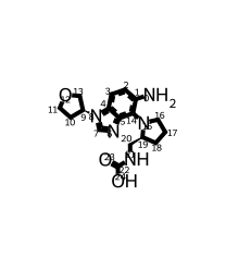 Nc1ccc2c(ncn2[C@@H]2CCOC2)c1N1CCC[C@H]1CNC(=O)O